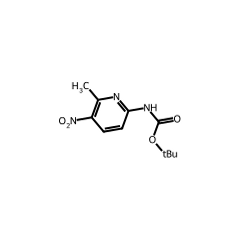 Cc1nc(NC(=O)OC(C)(C)C)ccc1[N+](=O)[O-]